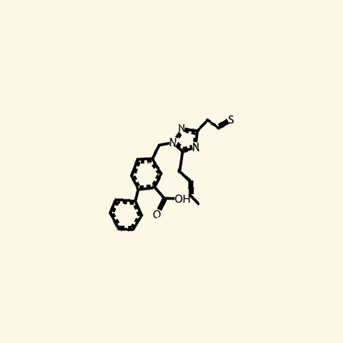 CC=CCc1nc(CC=S)nn1Cc1ccc(-c2ccccc2)c(C(=O)O)c1